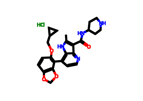 Cc1[nH]c2c(-c3c(OCC4CC4)ccc4c3OCO4)ccnc2c1C(=O)NC1CCNCC1.Cl